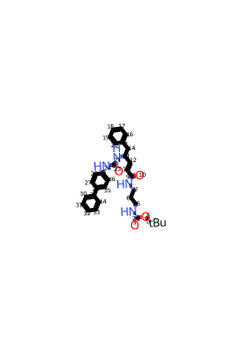 CC(C)(C)OC(=O)NCCCNC(=O)C=CC(Cc1ccccc1)NC(=O)Nc1ccc(-c2ccccc2)cc1